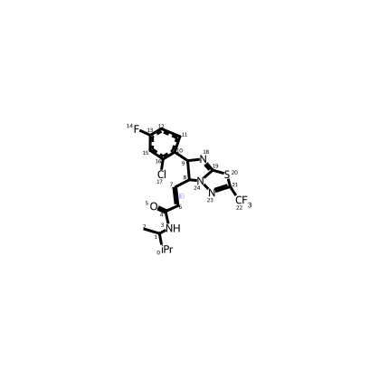 CC(C)C(C)NC(=O)/C=C/C1C(c2ccc(F)cc2Cl)N=C2SC(C(F)(F)F)=NN21